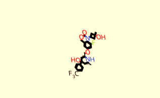 C[C@H]1C[C@@](O)(c2ccc(C(F)(F)F)cc2)C[C@@H](COc2cc(F)c3c(c2)COC(=O)N3C2CC(C)(O)C2)N1